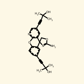 CC(C)(O)C#Cc1ccc2c(c1)C1(COC(N)=N1)c1cc(C#CC(C)(C)O)cnc1O2